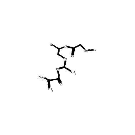 C=C(C)C(=O)OC(C)OCC(CC)OC(=O)C[Se]C#N